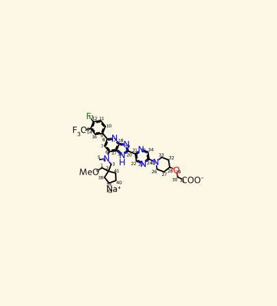 COCC1(CN(C)c2cc(-c3ccc(F)c(C(F)(F)F)c3)nc3nc(-c4cnc(N5CCC(OCC(=O)[O-])CC5)cn4)[nH]c23)CCCC1.[Na+]